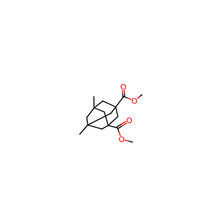 COC(=O)C12CC3(C)CC(C)(C1)CC(C(=O)OC)(C3)C2